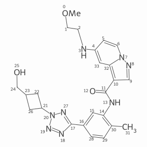 COCCNc1ccn2ncc(C(=O)Nc3cc(-c4nnn(C5CC(CO)C5)n4)ccc3C)c2c1